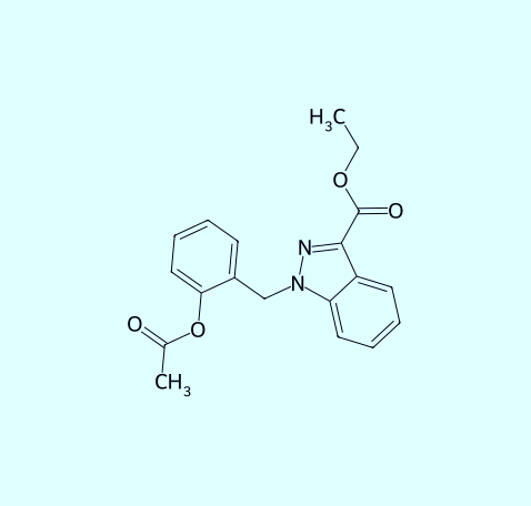 CCOC(=O)c1nn(Cc2ccccc2OC(C)=O)c2ccccc12